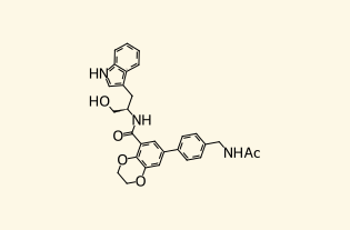 CC(=O)NCc1ccc(-c2cc3c(c(C(=O)N[C@@H](CO)Cc4c[nH]c5ccccc45)c2)OCCO3)cc1